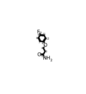 NC(=O)CCOc1ccc(F)cc1